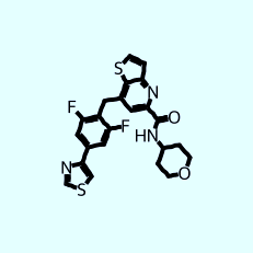 O=C(NC1CCOCC1)c1cc(Cc2c(F)cc(-c3cscn3)cc2F)c2sccc2n1